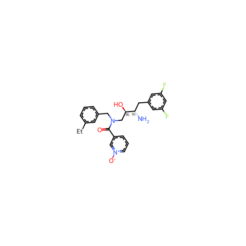 CCc1cccc(CN(C[C@@H](O)[C@@H](N)Cc2cc(F)cc(F)c2)C(=O)c2ccc[n+]([O-])c2)c1